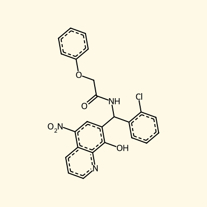 O=C(COc1ccccc1)NC(c1ccccc1Cl)c1cc([N+](=O)[O-])c2cccnc2c1O